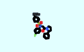 COc1ccc(S(=O)(=O)N(CC(=O)N2CCCC2c2ccccc2)c2ccc(F)cc2)cc1